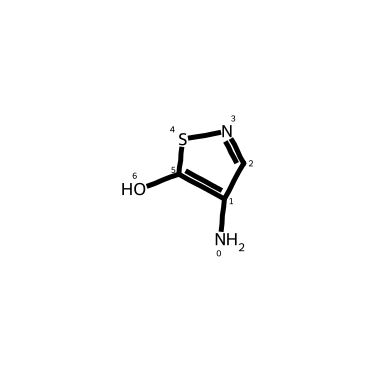 Nc1cnsc1O